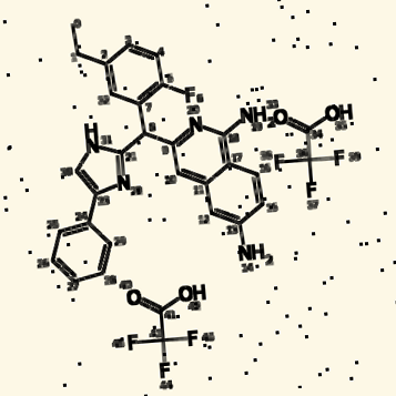 CCc1ccc(F)c(C(c2cc3cc(N)ccc3c(N)n2)c2nc(-c3ccccc3)c[nH]2)c1.O=C(O)C(F)(F)F.O=C(O)C(F)(F)F